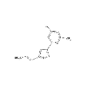 O=C(O)C=Cn1cnc(-c2cc(C(F)(F)F)cc(C(F)(F)F)c2)c1